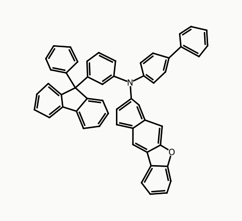 c1ccc(-c2ccc(N(c3cccc(C4(c5ccccc5)c5ccccc5-c5ccccc54)c3)c3ccc4cc5c(cc4c3)oc3ccccc35)cc2)cc1